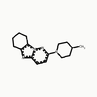 CC1CCN(c2ccc3nc4c(n3n2)CCCC4)CC1